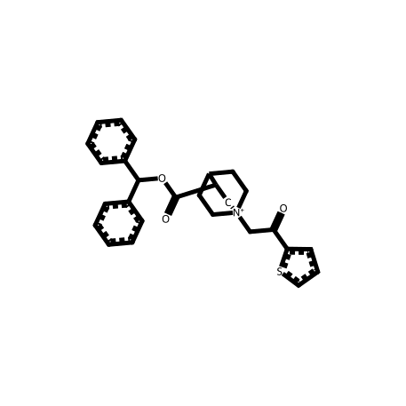 O=C(C[N+]12CCC(CC1)C(C(=O)OC(c1ccccc1)c1ccccc1)C2)c1cccs1